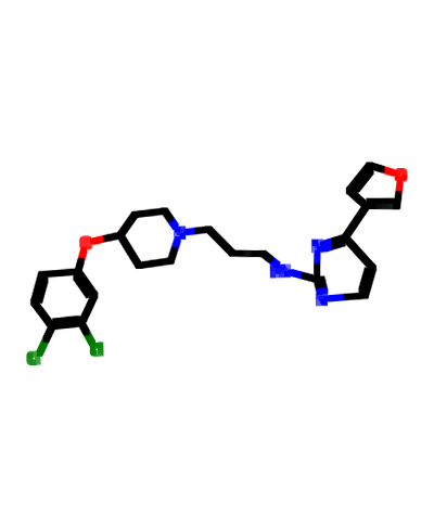 Clc1ccc(OC2CCN(CCCNc3nccc(-c4ccoc4)n3)CC2)cc1Cl